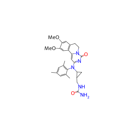 COc1cc2c(cc1OC)-c1cc(N(c3c(C)cc(C)cc3C)C3CC3CNC(N)=O)nc(=O)n1CC2